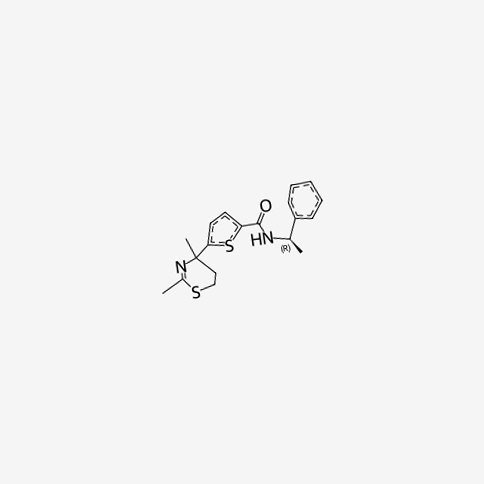 CC1=NC(C)(c2ccc(C(=O)N[C@H](C)c3ccccc3)s2)CCS1